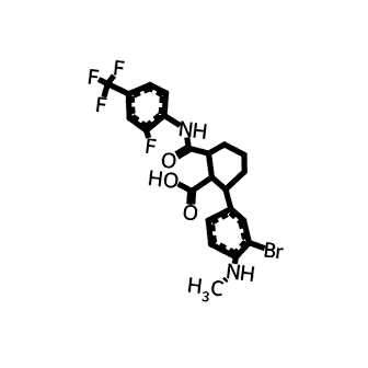 CNc1ccc(C2CCCC(C(=O)Nc3ccc(C(F)(F)F)cc3F)C2C(=O)O)cc1Br